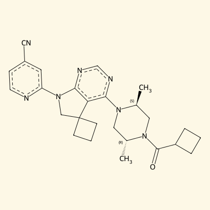 C[C@@H]1CN(c2ncnc3c2C2(CCC2)CN3c2cc(C#N)ccn2)[C@@H](C)CN1C(=O)C1CCC1